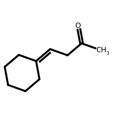 CC(=O)CC=C1CCCCC1